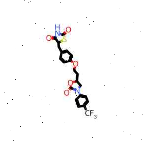 O=C1NC(=O)C(Cc2ccc(OCCC3CN(c4ccc(C(F)(F)F)cc4)C(=O)O3)cc2)S1